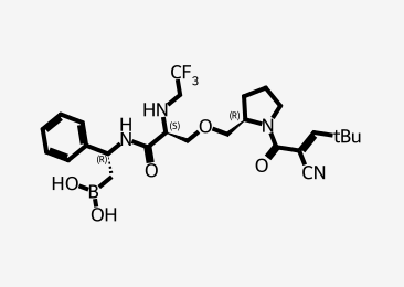 CC(C)(C)C=C(C#N)C(=O)N1CCC[C@@H]1COC[C@H](NCC(F)(F)F)C(=O)N[C@H](CB(O)O)c1ccccc1